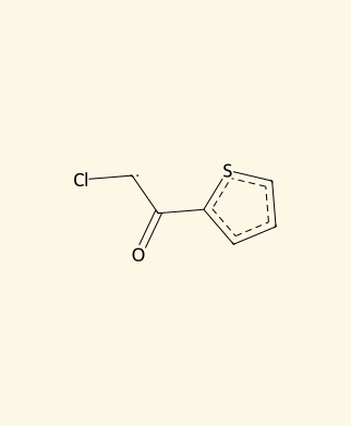 O=C([CH]Cl)c1cccs1